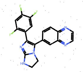 Fc1cc(F)c(-c2nc3n(c2-c2ccc4nccnc4c2)CCN3)cc1F